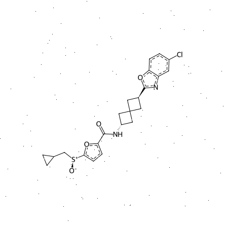 O=C(N[C@H]1CC2(C1)C[C@H](c1nc3cc(Cl)ccc3o1)C2)c1ccc([S@@+]([O-])CC2CC2)o1